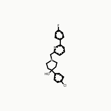 OC1(c2ccc(Cl)cc2)CCN(Cc2cccc(-c3ccc(F)cc3)n2)CC1